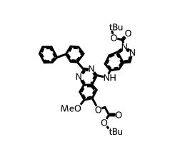 COc1cc2nc(-c3cccc(-c4ccccc4)c3)nc(Nc3ccc4c(cnn4C(=O)OC(C)(C)C)c3)c2cc1OCC(=O)OC(C)(C)C